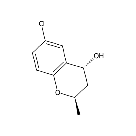 C[C@@H]1C[C@@H](O)c2cc(Cl)ccc2O1